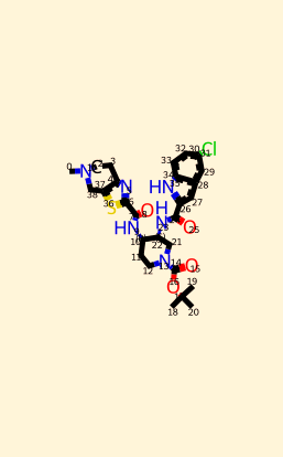 CN1CCc2nc(C(=O)N[C@@H]3CCN(C(=O)OC(C)(C)C)C[C@@H]3NC(=O)c3cc4cc(Cl)ccc4[nH]3)sc2C1